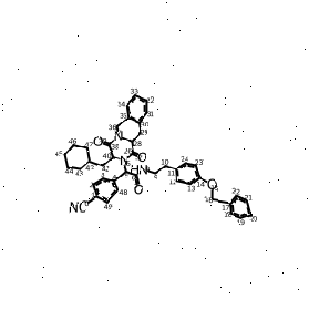 N#Cc1ccc(C(C(=O)NCCc2ccc(OCc3ccccc3)cc2)N2C(=O)C3Cc4ccccc4CN3C(=O)C2CC2CCCCC2)cc1